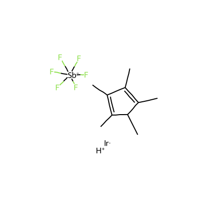 CC1=C(C)C(C)C(C)=C1C.[F][Sb-]([F])([F])([F])([F])[F].[H+].[Ir]